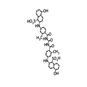 Cc1cc(Nc2ccc3c(O)cccc3c2S(=O)(=O)O)ccc1C(=O)NC(=O)NC(=O)c1ccc(Nc2ccc3c(O)cccc3c2S(=O)(=O)O)cc1C